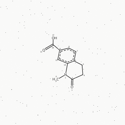 CN1C(=O)CCc2ccc(C(=O)O)cc21